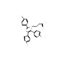 O=C(O)CCCn1c(-c2ccc(Cl)cc2)nc(-c2ccc(Cl)cc2)c1-c1ccc(Cl)cc1